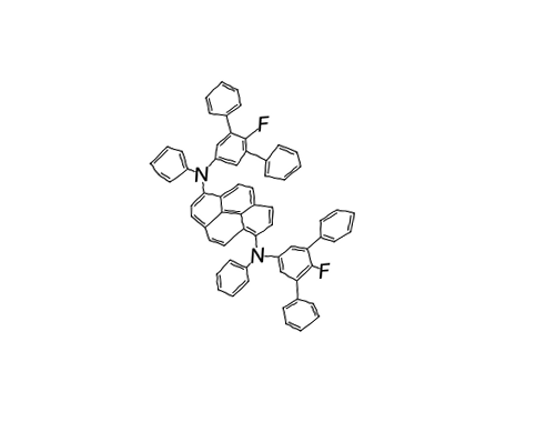 Fc1c(-c2ccccc2)cc(N(c2ccccc2)c2ccc3ccc4c(N(c5ccccc5)c5cc(-c6ccccc6)c(F)c(-c6ccccc6)c5)ccc5ccc2c3c54)cc1-c1ccccc1